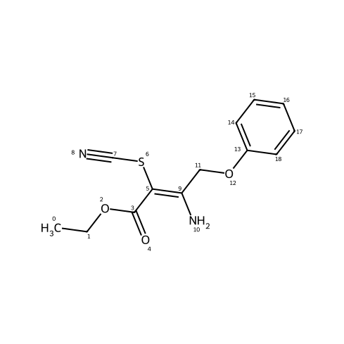 CCOC(=O)/C(SC#N)=C(\N)COc1ccccc1